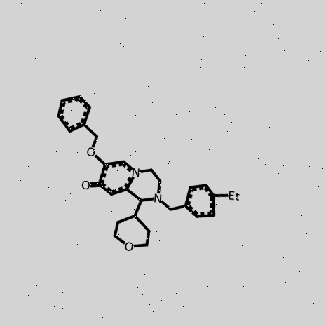 CCc1ccc(CN2CCn3cc(OCc4ccccc4)c(=O)cc3C2C2CCOCC2)cc1